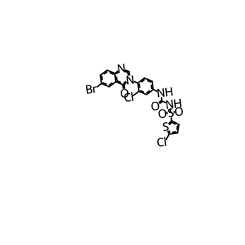 O=C(Nc1ccc(-n2cnc3ccc(Br)cc3c2=O)c(Cl)c1)NS(=O)(=O)c1ccc(Cl)s1